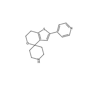 c1cc(-c2cc3c(s2)CCOC32CCNCC2)ccn1